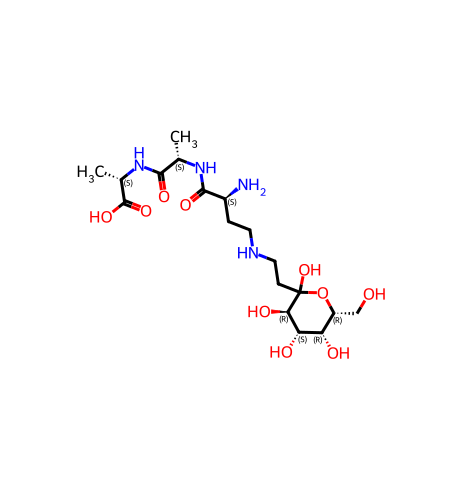 C[C@H](NC(=O)[C@H](C)NC(=O)[C@@H](N)CCNCCC1(O)O[C@H](CO)[C@H](O)[C@H](O)[C@H]1O)C(=O)O